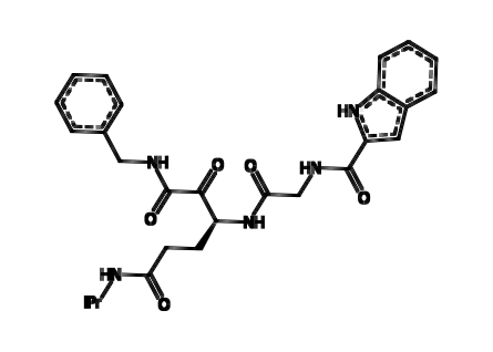 CC(C)NC(=O)CC[C@H](NC(=O)CNC(=O)c1cc2ccccc2[nH]1)C(=O)C(=O)NCc1ccccc1